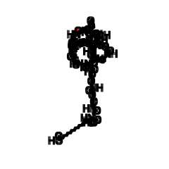 COc1ccc(C[C@@H]2NC(=O)[C@H]([C@@H](C)O)NC(=O)[C@@H]3C4CCN3C(=O)[C@@H]3Cc5cn(c6ccc(F)cc56)CCCCCCN(Cc5ccc(cc5)CCNC(=O)[C@]5(C)CCCN5C2=O)C(=O)CCC(=O)N[C@@H](C)C(=O)N[C@H](CNC(=O)COCCOCCNC(=O)COCCOCCNC(=O)CC[C@H](NC(=O)CCCCCCCCCCCCCCC(=O)O)C(=O)O)C(=O)N[C@@H](Cc2cccc(c2)CNC(=O)CO4)C(=O)N3)cc1